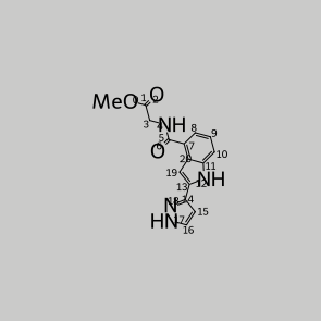 COC(=O)CNC(=O)c1cccc2[nH]c(-c3cc[nH]n3)cc12